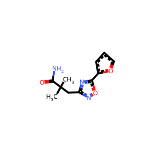 CC(C)(Cc1noc(-c2ccco2)n1)C(N)=O